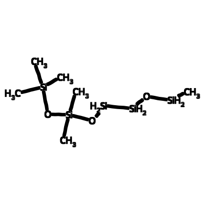 C[SiH2]O[SiH2][SiH2]O[Si](C)(C)O[Si](C)(C)C